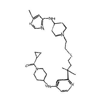 Cc1cc(NC2CCN(CCSCCC(C)(C)c3cc(NC4CCN(C(=O)C5CC5)CC4)ccn3)CC2)ncn1